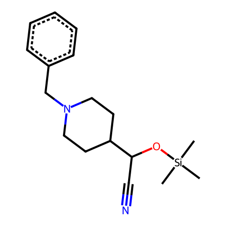 C[Si](C)(C)OC(C#N)C1CCN(Cc2ccccc2)CC1